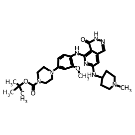 COc1cc(N2CCN(C(=O)OC(C)(C)C)CC2)ccc1Nc1nc(NC2CCN(C)CC2)cc2cn[nH]c(=O)c12